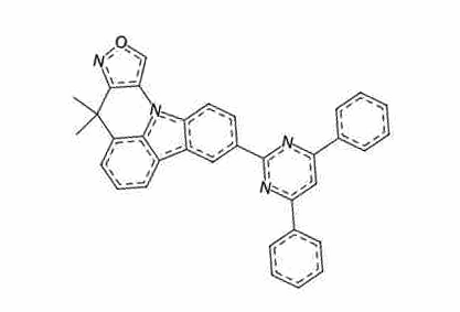 CC1(C)c2nocc2-n2c3ccc(-c4nc(-c5ccccc5)cc(-c5ccccc5)n4)cc3c3cccc1c32